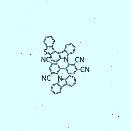 N#Cc1cc(C#N)c(-n2c3ccccc3c3ccccc32)c(-c2ccc(C#N)c(C#N)c2-n2c3ccccc3c3c4c(ccc32)sc2ccccc24)c1